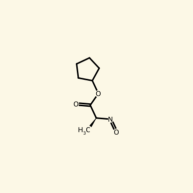 C[C@H](N=O)C(=O)OC1CCCC1